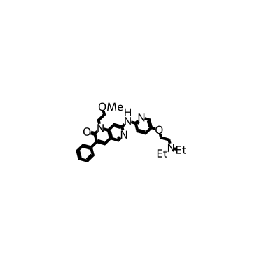 CCN(CC)CCOc1ccc(Nc2cc3c(cn2)cc(-c2ccccc2)c(=O)n3CCOC)nc1